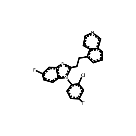 Fc1ccc(-n2c(CCc3cccc4cnccc34)nc3cc(F)ccc32)c(Cl)c1